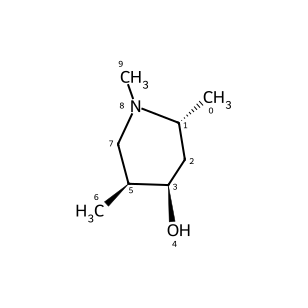 C[C@@H]1C[C@@H](O)[C@@H](C)CN1C